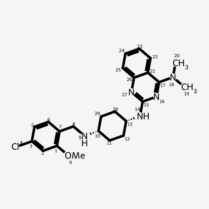 COc1cc(Cl)ccc1CN[C@H]1CC[C@@H](Nc2nc(N(C)C)c3ccccc3n2)CC1